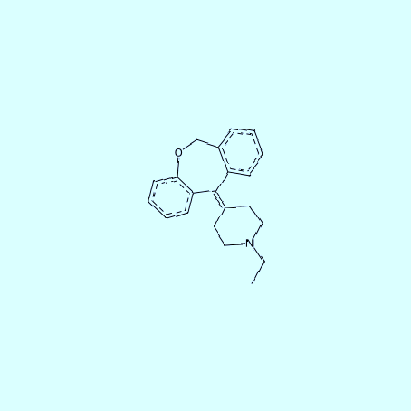 CCN1CCC(=C2c3ccccc3COc3ccccc32)CC1